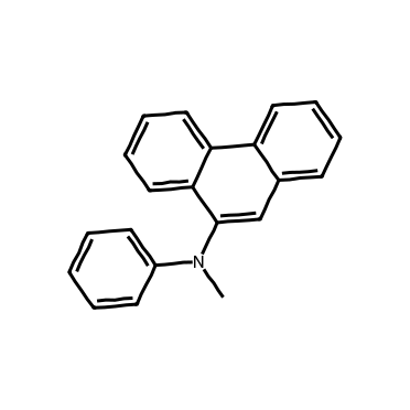 CN(c1ccccc1)c1cc2ccccc2c2ccccc12